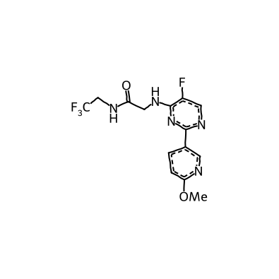 COc1ccc(-c2ncc(F)c(NCC(=O)NCC(F)(F)F)n2)cn1